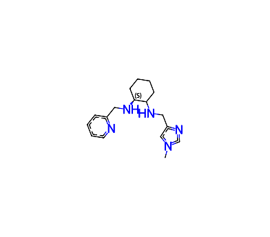 Cn1cnc(CNC2CCCC[C@@H]2NCc2ccccn2)c1